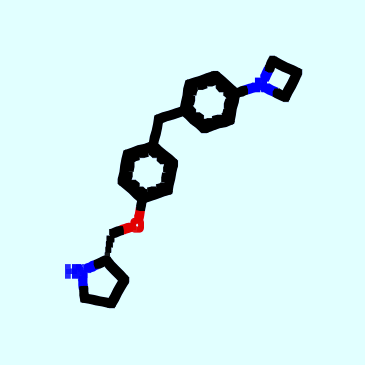 c1cc(OC[C@@H]2CCCN2)ccc1Cc1ccc(N2CCC2)cc1